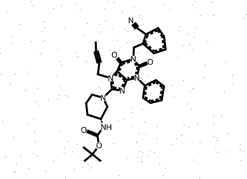 CC#CCn1c(N2CCC[C@@H](NC(=O)OC(C)(C)C)C2)nc2c1c(=O)n(Cc1ccccc1C#N)c(=O)n2-c1ccccc1